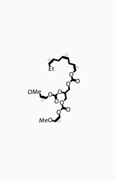 CC/C=C\C/C=C\C/C=C\OC(=O)OCC(COC(=O)O/C=C\OC)OC(=O)O/C=C\OC